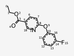 CCOC(=O)c1ccc(Oc2cccc(F)c2)nc1